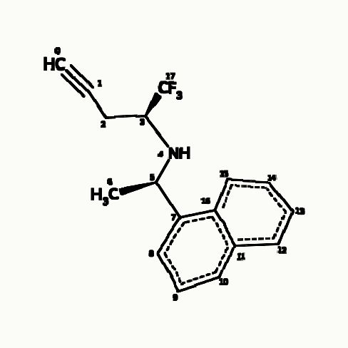 C#CC[C@H](N[C@H](C)c1cccc2ccccc12)C(F)(F)F